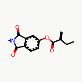 C=C(CC)C(=O)Oc1ccc2c(c1)C(=O)NC2=O